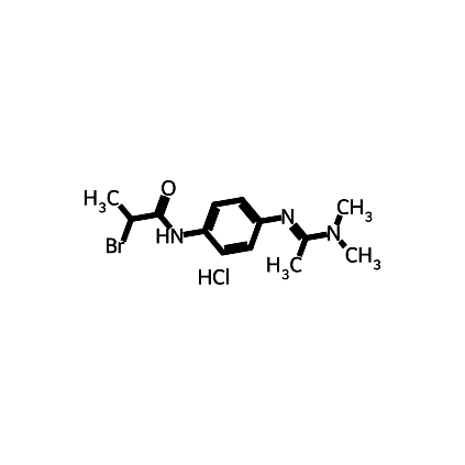 C/C(=N\c1ccc(NC(=O)C(C)Br)cc1)N(C)C.Cl